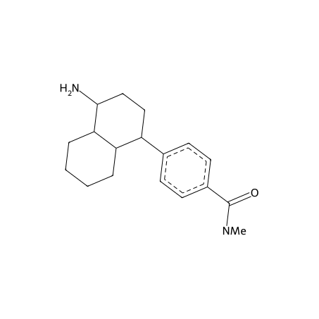 CNC(=O)c1ccc(C2CCC(N)C3CCCCC23)cc1